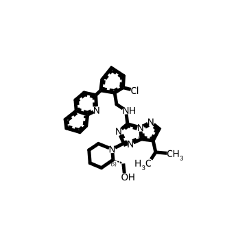 CC(C)c1cnn2c(NCc3c(Cl)cccc3-c3ccc4ccccc4n3)nc(N3CCCC[C@H]3CO)nc12